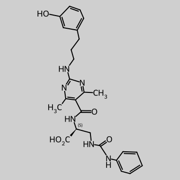 Cc1nc(NCCCc2cccc(O)c2)nc(C)c1C(=O)N[C@@H](CNC(=O)Nc1ccccc1)C(=O)O